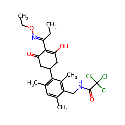 CCON=C(CC)C1=C(O)CC(c2c(C)cc(C)c(CNC(=O)C(Cl)(Cl)Cl)c2C)CC1=O